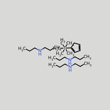 CCCNCCC.CCCNCCC.CCCNCCC.[CH3][Ti]([CH3])([CH3])([CH3])([CH3])[C]1=CC=CC1